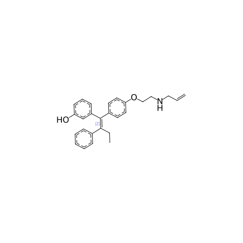 C=CCNCCOc1ccc(/C(=C(\CC)c2ccccc2)c2cccc(O)c2)cc1